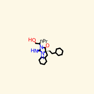 CCCC(CO)N1C(=N)N[C@](CCC2CCCCC2)(CC2CCCCC2)C1=O